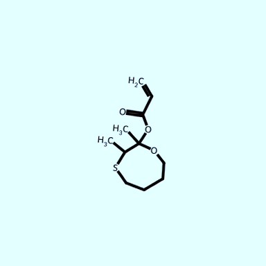 C=CC(=O)OC1(C)OCCCCSC1C